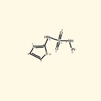 CC(C)NS(=O)(=O)Nc1nccs1